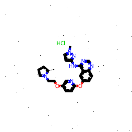 C[C@H]1CCCN1CCOc1ccc(Oc2ccc3ncnc(Nc4ccn(C)n4)c3c2)nc1.Cl